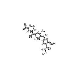 CCNC(=O)n1ccc(N2CCCc3cc(C(=O)N4CCC[C@@H](C(F)F)C4)cnc32)cc1=N